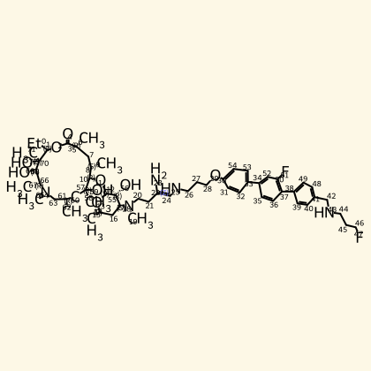 CC[C@H]1OC(=O)[C@H](C)C[C@H](C)[C@@H](O[C@@H]2O[C@H](C)C[C@H](N(C)CC/C(N)=C/NCCCOc3ccc(-c4ccc(-c5ccc(CNCCCF)cc5)c(F)c4)cc3)[C@H]2O)[C@](C)(O)C[C@@H](C)CN(C)[C@H](C)[C@@H](O)[C@]1(C)O